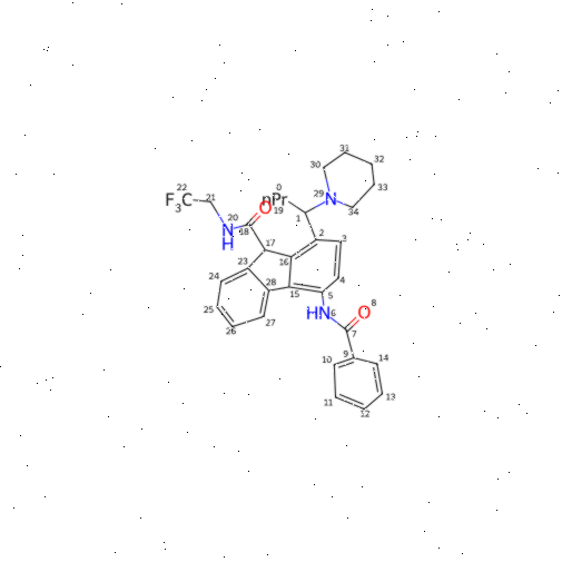 CCCC(c1ccc(NC(=O)c2ccccc2)c2c1C(C(=O)NCC(F)(F)F)c1ccccc1-2)N1CCCCC1